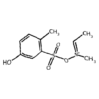 CC=[N+](C)OS(=O)(=O)c1cc(O)ccc1C